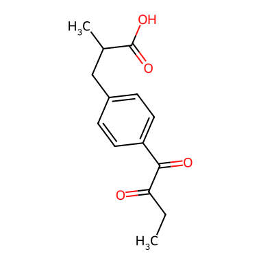 CCC(=O)C(=O)c1ccc(CC(C)C(=O)O)cc1